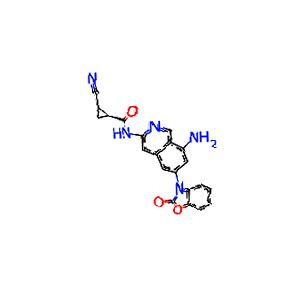 N#CC1C[C@@H]1C(=O)Nc1cc2cc(-n3c(=O)oc4ccccc43)cc(N)c2cn1